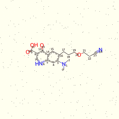 CN(C)c1cc2[nH]cc(C(=O)O)c(=O)c2cc1CCCOCCC#N